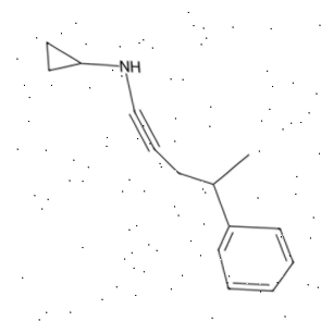 CC(CC#CNC1CC1)c1ccccc1